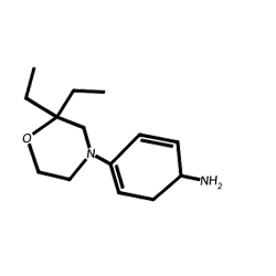 CCC1(CC)CN(C2=CCC(N)C=C2)CCO1